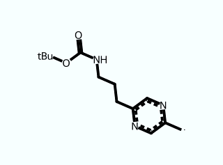 [CH2]c1cnc(CCCNC(=O)OC(C)(C)C)cn1